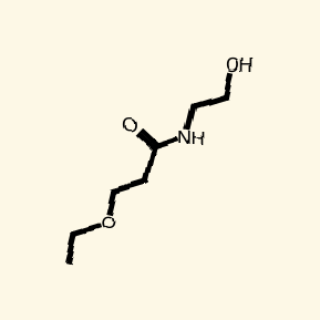 CCOCCC(=O)NCCO